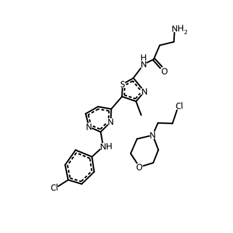 Cc1nc(NC(=O)CCN)sc1-c1ccnc(Nc2ccc(Cl)cc2)n1.ClCCN1CCOCC1